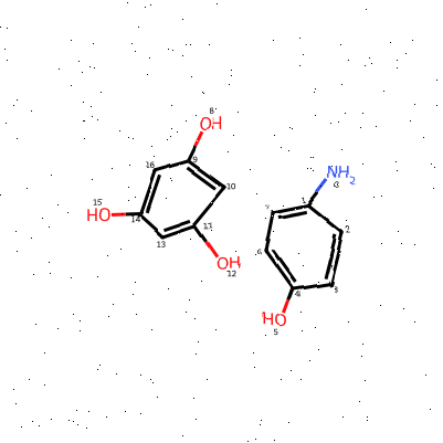 Nc1ccc(O)cc1.Oc1cc(O)cc(O)c1